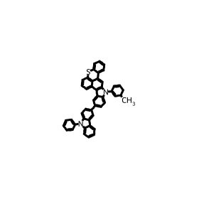 CC1C=C(n2c3ccc(-c4ccc5c(c4)c4ccccc4n5-c4ccccc4)cc3c3c4cccc5c4c(cc32)-c2ccccc2S5)C=CC1